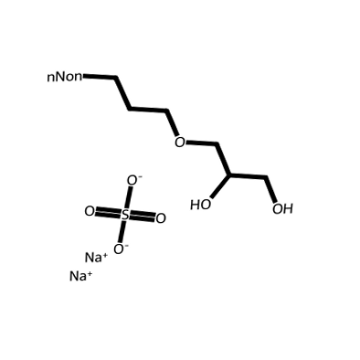 CCCCCCCCCCCCOCC(O)CO.O=S(=O)([O-])[O-].[Na+].[Na+]